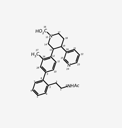 CC(=O)NCCc1ccccc1-c1ccc(C2CN(C(=O)O)CCC2c2cccnc2)c(C)c1